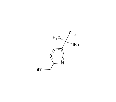 CC(C)Cc1ccc(C(C)(C)C(C)(C)C)cn1